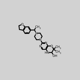 CC(c1ccc2c(c1)OCC2)N1CCN(c2ncc3c(n2)OC(C)(C)C(O)N3)CC1